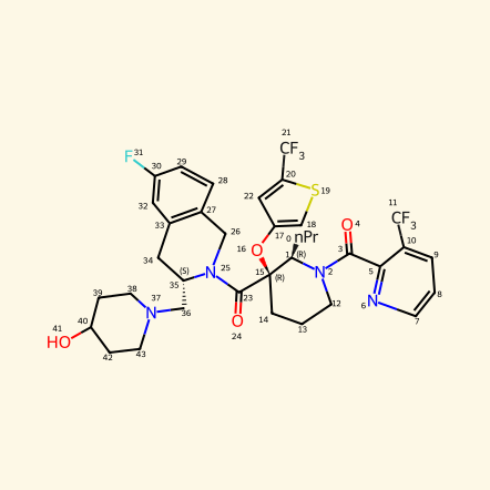 CCC[C@H]1N(C(=O)c2ncccc2C(F)(F)F)CCC[C@]1(Oc1csc(C(F)(F)F)c1)C(=O)N1Cc2ccc(F)cc2C[C@H]1CN1CCC(O)CC1